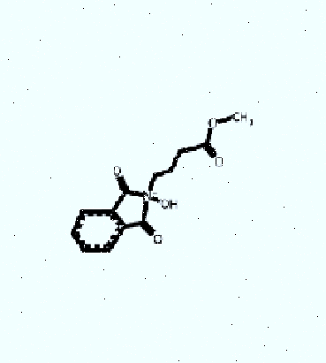 COC(=O)CCC[N+]1(O)C(=O)c2ccccc2C1=O